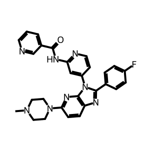 CN1CCN(c2ccc3nc(-c4ccc(F)cc4)n(-c4ccnc(NC(=O)c5cccnc5)c4)c3n2)CC1